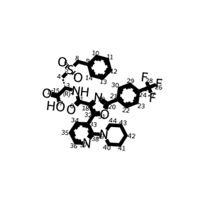 O=C(N[C@@H](CS(=O)(=O)Cc1ccccc1)C(=O)O)c1nc(-c2ccc(C(F)(F)F)cc2)oc1-c1cccnc1N1CCCCC1